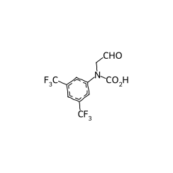 O=CCN(C(=O)O)c1cc(C(F)(F)F)cc(C(F)(F)F)c1